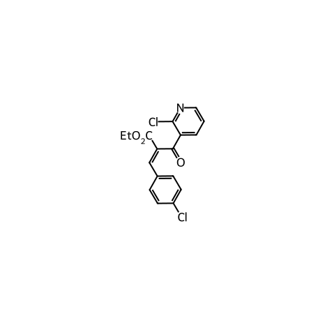 CCOC(=O)C(=Cc1ccc(Cl)cc1)C(=O)c1cccnc1Cl